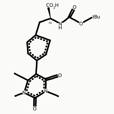 Cc1c(-c2ccc(C[C@H](NC(=O)OC(C)(C)C)C(=O)O)cc2)c(=O)n(C)c(=O)n1C